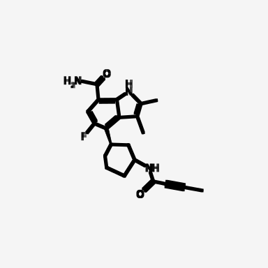 CC#CC(=O)NC1CCC[C@@H](c2c(F)cc(C(N)=O)c3[nH]c(C)c(C)c23)C1